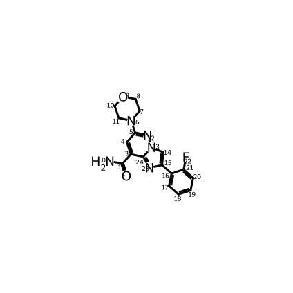 NC(=O)c1cc(N2CCOCC2)nn2cc(-c3ccccc3F)nc12